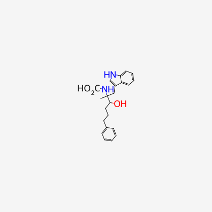 CC(Cc1c[nH]c2ccccc12)(NC(=O)O)C(O)CCCc1ccccc1